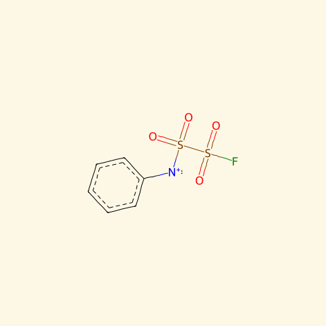 O=S(=O)(F)S(=O)(=O)[N+]c1ccccc1